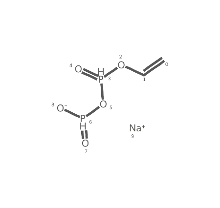 C=CO[PH](=O)O[PH](=O)[O-].[Na+]